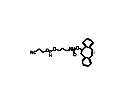 N#CCCOPOCCCNC(=O)OC1Cc2ccccc2/C=C\c2ccccc21